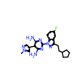 Cn1cc(-c2c(N)nc(-n3nc(CCC4CCCC4)c4cc(F)ccc43)nc2N)cn1